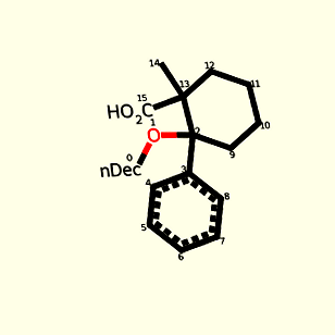 CCCCCCCCCCOC1(c2ccccc2)CCCCC1(C)C(=O)O